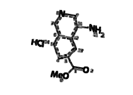 COC(=O)c1ccc2cncc(N)c2c1.Cl